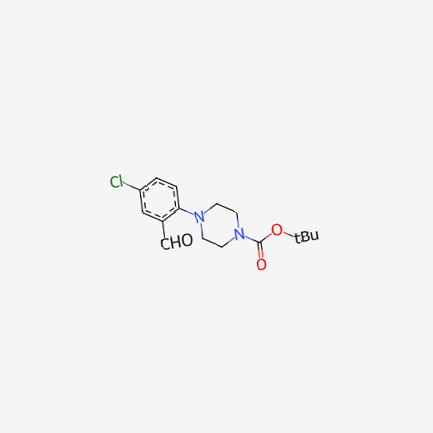 CC(C)(C)OC(=O)N1CCN(c2ccc(Cl)cc2C=O)CC1